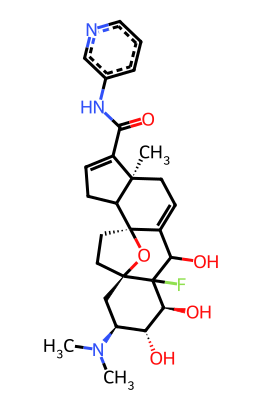 CN(C)[C@H]1C[C@@]23CC[C@@]4(O2)C(=CC[C@]2(C)C(C(=O)Nc5cccnc5)=CCC24)C(O)C3(F)[C@@H](O)[C@@H]1O